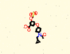 COC(=O)c1cc(OCS(C)(=O)=O)cc(Oc2ccc(N(CC3CC3)C(C)=O)cc2)c1